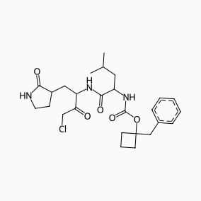 CC(C)CC(NC(=O)OC1(Cc2ccccc2)CCC1)C(=O)NC(CC1CCNC1=O)C(=O)CCl